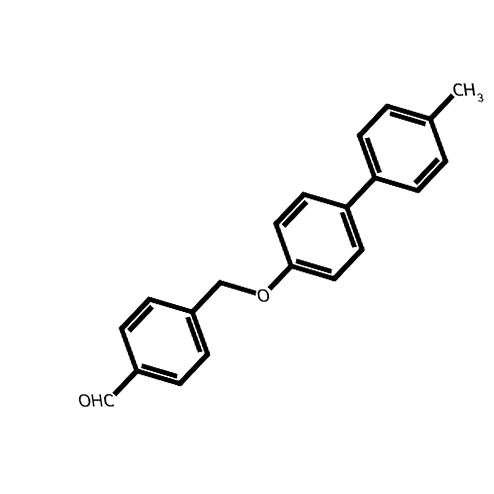 Cc1ccc(-c2ccc(OCc3ccc(C=O)cc3)cc2)cc1